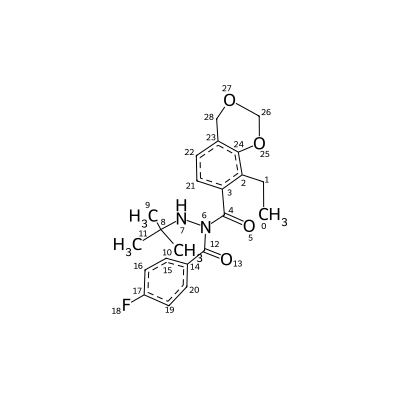 CCc1c(C(=O)N(NC(C)(C)C)C(=O)c2ccc(F)cc2)ccc2c1OCOC2